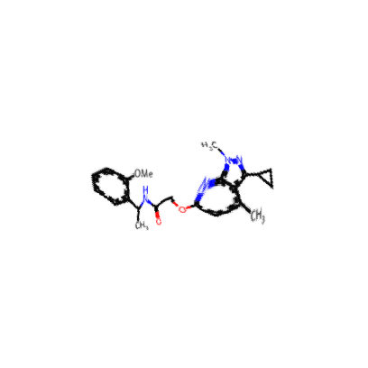 COc1ccccc1C(C)NC(=O)COc1cc(C)c2c(C3CC3)nn(C)c2n1